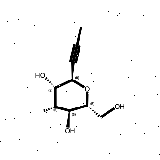 CC#C[C@H]1O[C@H](CO)[C@@H](O)[C@H](C)[C@@H]1O